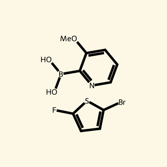 COc1cccnc1B(O)O.Fc1ccc(Br)s1